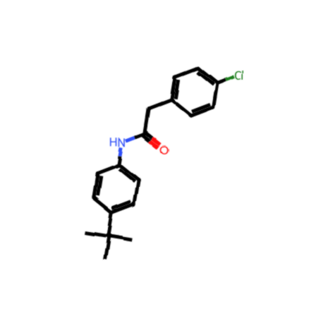 CC(C)(C)c1ccc(NC(=O)Cc2ccc(Cl)cc2)cc1